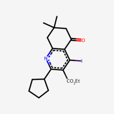 CCOC(=O)c1c(C2CCCC2)nc2c(c1I)C(=O)CC(C)(C)C2